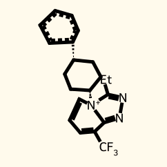 CCC1=NN=C2C(C(F)(F)F)=CC=C[N+]12[C@H]1CC[C@@H](c2ccccc2)CC1